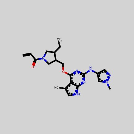 C=CC(=O)N1CC(COc2nc(Nc3cnn(C)c3)nc3[nH]cc(C#N)c23)C(CC(F)(F)F)C1